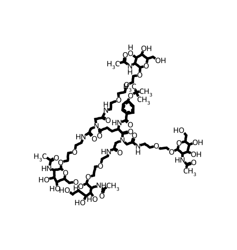 CC(=O)NC1C(OCCOCCNC(=O)CN(CC(=O)NCCOCCOCCOC2OC(CO)C(O)C(O)C2NC(C)=O)C(=O)CCC(NC(=O)c2ccc(OC(C)(C)C)cc2)C(=O)N(CC(=O)NCCOCCOC2OC(CO)C(O)C(O)C2NC(C)=O)CC(=O)NCCOCCOC2OC(CO)C(O)C(O)C2NC(C)=O)OC(CO)C(O)C1O